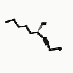 CCCCC[C@H](O)C#CC=O